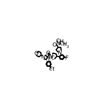 CCc1ccc([C@@H]2CN(C3CCOCC3)C[C@@]2(F)C(=O)N2CCC(c3ccc(F)cc3N3CCC(C(=O)N(C)C)CC3)CC2)cc1